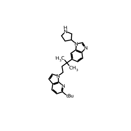 CC(C)(C)c1ccc2ccn(CCC(C)(C)c3ccc4ncn(C5CCNC5)c4c3)c2n1